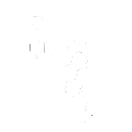 Cc1ccc(-c2ccnc3[nH]c(-c4n[nH]c5cnc(-c6cncc(NC(=O)C(C)(C)C)c6)c(F)c45)nc23)s1